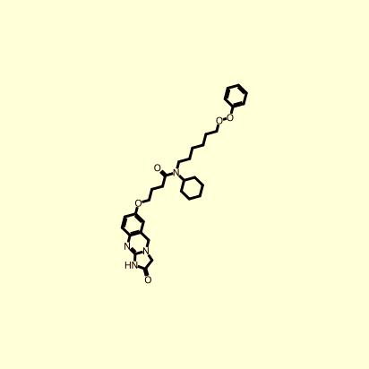 O=C1CN2Cc3cc(OCCCC(=O)N(CCCCCCOOc4ccccc4)C4CCCCC4)ccc3N=C2N1